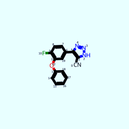 N#Cc1[nH]nnc1-c1ccc(F)c(Oc2ccccc2)c1